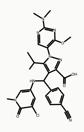 COc1nc(N(C)C)ncc1-n1nc(C(=O)O)c(C(Nc2cc(Cl)c(=O)n(C)c2)c2ccc(C#N)cc2)c1C(C)C